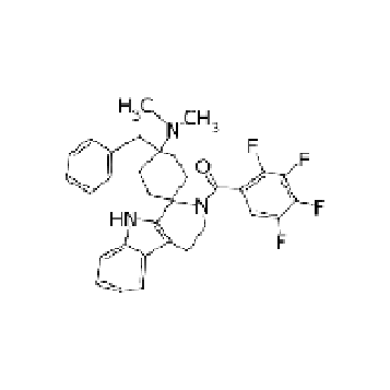 CN(C)C1(Cc2ccccc2)CCC2(CC1)c1[nH]c3ccccc3c1CCN2C(=O)c1cc(F)c(F)c(F)c1F